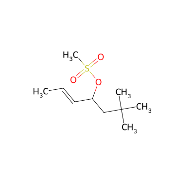 C/C=C/C(CC(C)(C)C)OS(C)(=O)=O